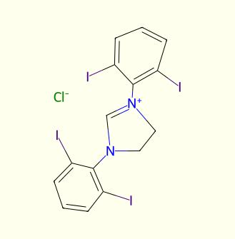 Ic1cccc(I)c1N1C=[N+](c2c(I)cccc2I)CC1.[Cl-]